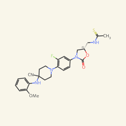 [C-]#[N+]C1(Nc2ccccc2OC)CCN(c2ccc(N3C[C@H](CNC(C)=S)OC3=O)cc2F)CC1